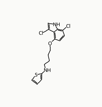 Clc1ccc(OCCCCNc2cccs2)c2c(Cl)c[nH]c12